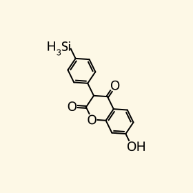 O=C1Oc2cc(O)ccc2C(=O)C1c1ccc([SiH3])cc1